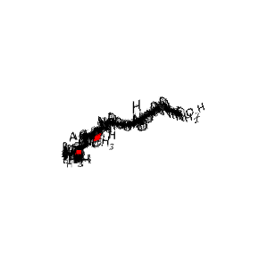 CC(=O)c1nn(CC(=O)N2C[C@H]3C[C@H]3[C@H]2C(=O)Nc2nc(Br)ccc2C)c2c(C)cc(-c3cnc(CNC(=O)COCCOCCNC(=O)COCCOCCNC(=O)CC[C@H](N)C(=O)O)nc3)cc12